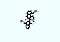 Cc1c2c(c(CC(C)(C)C)c3ncccc13)Oc1cc3cccc(CC(C)(C)C)c3c3cc[n+](C)c-2c13